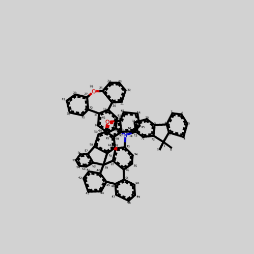 CC1(C)c2ccccc2-c2ccc(N(c3ccc4c(c3)-c3ccccc3Oc3ccccc3-4)c3ccc4c(c3)C3(c5ccccc5-c5ccccc5-4)c4ccccc4-c4cc5oc6ccccc6c5cc43)cc21